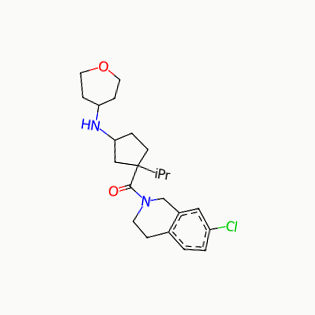 CC(C)C1(C(=O)N2CCc3ccc(Cl)cc3C2)CCC(NC2CCOCC2)C1